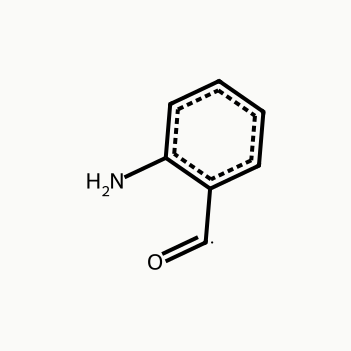 Nc1ccccc1[C]=O